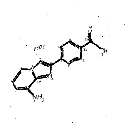 Br.Nc1cccn2cc(-c3ccc(C(=O)O)cc3)nc12